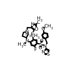 COc1ccc(CN(c2cscn2)S(=O)(=O)c2cc(C)c(N(C)C3CCN(Cc4nc(C)oc4C)C3)cc2F)cc1